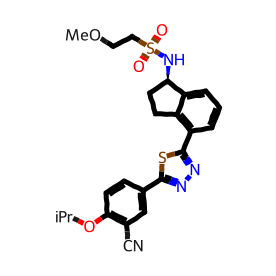 COCCS(=O)(=O)N[C@@H]1CCc2c(-c3nnc(-c4ccc(OC(C)C)c(C#N)c4)s3)cccc21